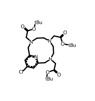 CC(C)(C)OC(=O)CN1CCN(CC(=O)OC(C)(C)C)Cc2cc(Cl)cc(n2)CN(CC(=O)OC(C)(C)C)CC1